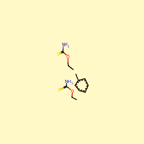 CCOC(N)=S.CCOC(N)=S.Cc1ccccc1